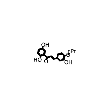 CCCOC1=C(O)CC(/C=C/C(=O)c2cc(O)ccc2O)C=C1